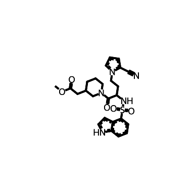 COC(=O)CC1CCCN(C(=O)C(CCn2cccc2C#N)NS(=O)(=O)c2cccc3[nH]ccc23)C1